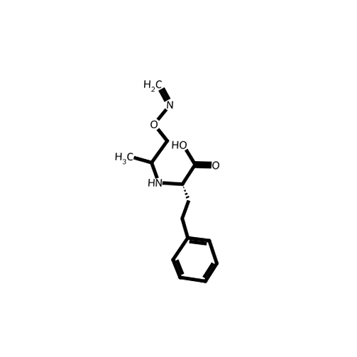 C=NOCC(C)N[C@@H](CCc1ccccc1)C(=O)O